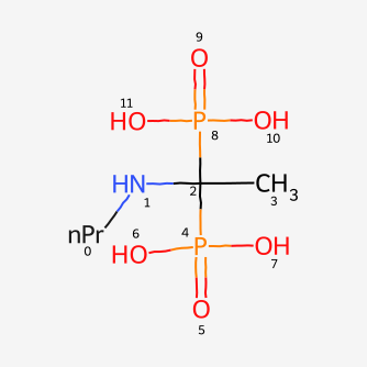 CCCNC(C)(P(=O)(O)O)P(=O)(O)O